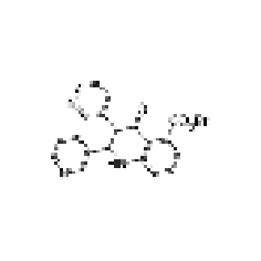 CCOC(=O)c1cccc2c1C(=O)C(c1cccnc1)C(c1cccnc1)N2